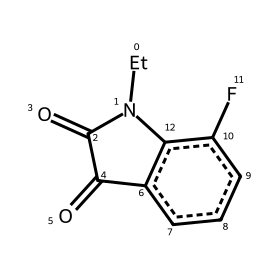 CCN1C(=O)C(=O)c2cccc(F)c21